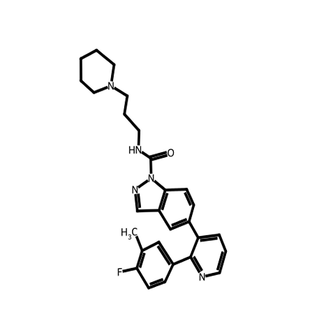 Cc1cc(-c2ncccc2-c2ccc3c(cnn3C(=O)NCCCN3CCCCC3)c2)ccc1F